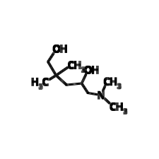 CN(C)CC(O)CC(C)(C)CO